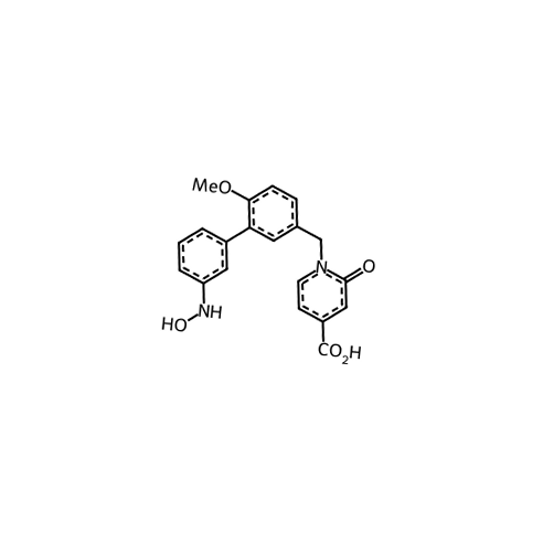 COc1ccc(Cn2ccc(C(=O)O)cc2=O)cc1-c1cccc(NO)c1